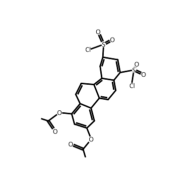 CC(=O)Oc1cc(OC(C)=O)c2ccc3c4cc(S(=O)(=O)Cl)cc(S(=O)(=O)Cl)c4ccc3c2c1